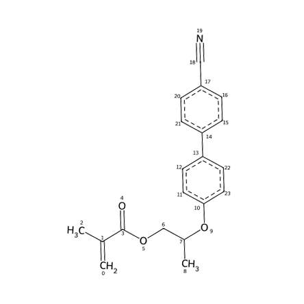 C=C(C)C(=O)OCC(C)Oc1ccc(-c2ccc(C#N)cc2)cc1